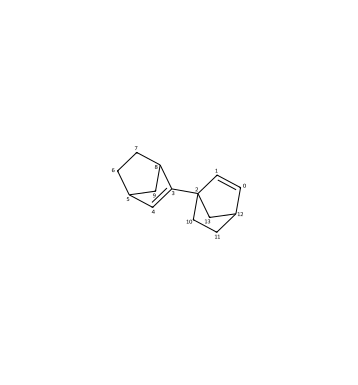 C1=CC2(C3=CC4CCC3C4)CCC1C2